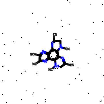 C/C(C#N)=N\c1c2c(c3nc(C#N)c(C#N)nc3c1NC#N)N=C(C#N)CN2C#N